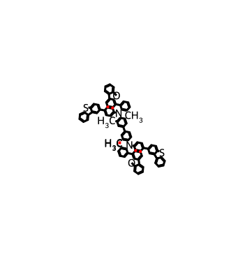 Cc1cc(-c2ccc(N(c3ccc(-c4ccc5sc6ccccc6c5c4)cc3)c3c(C)cccc3-c3cccc4c3oc3ccccc34)c(C)c2)ccc1N(c1ccc(-c2ccc3sc4ccccc4c3c2)cc1)c1c(C)cccc1-c1cccc2c1oc1ccccc12